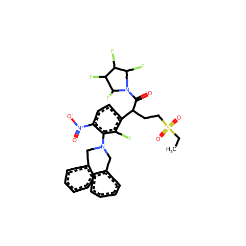 CCS(=O)(=O)CCC(C(=O)N1C(F)C(F)C(F)C1F)c1ccc([N+](=O)[O-])c(N(Cc2ccccc2)Cc2ccccc2)c1F